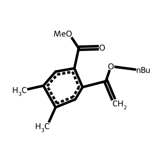 C=C(OCCCC)c1cc(C)c(C)cc1C(=O)OC